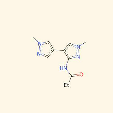 CCC(=O)Nc1nn(C)cc1-c1cnn(C)c1